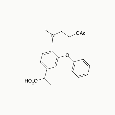 CC(=O)OCCN(C)C.CC(C(=O)O)c1cccc(Oc2ccccc2)c1